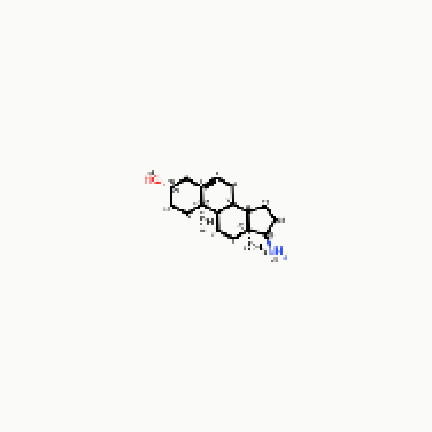 C[C@]12CCC3C(CC=C4C[C@@H](O)CC[C@@]43C)C1CCC2N